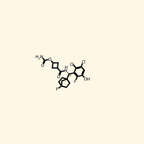 NC(=O)OC1CC(C(=O)N[C@H](c2c(F)c(O)cc(Cl)c2Cl)C23CCC(F)(CC2)C3)C1